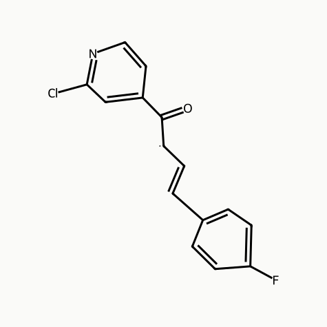 O=C([CH]/C=C/c1ccc(F)cc1)c1ccnc(Cl)c1